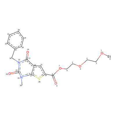 CCOCCOCCOC(=O)c1cc2c(=O)n(Cc3ccccc3)c(=O)n(C)c2s1